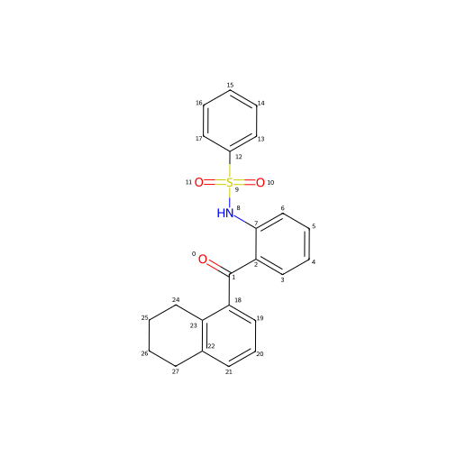 O=C(c1ccccc1NS(=O)(=O)c1ccccc1)c1cccc2c1CCCC2